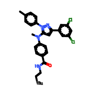 Cc1ccc(-n2nc(-c3cc(Cl)cc(Cl)c3)cc2N(C)c2ccc(C(=O)NCCC(C)(C)C)cc2)cc1